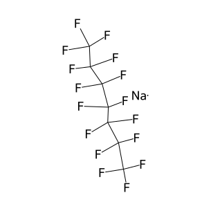 FC(F)(F)C(F)(F)C(F)(F)C(F)(F)C(F)(F)C(F)(F)C(F)(F)F.[Na]